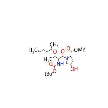 C=CCC[C@@H](C)OC(C)C(NC(=O)OC(C)(C)C)C(=O)N1C[C@H](O)C[C@H]1C(=O)OC